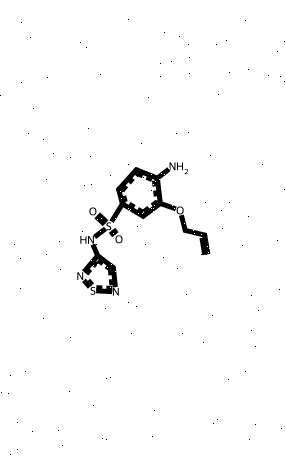 C=CCOc1cc(S(=O)(=O)Nc2cnsn2)ccc1N